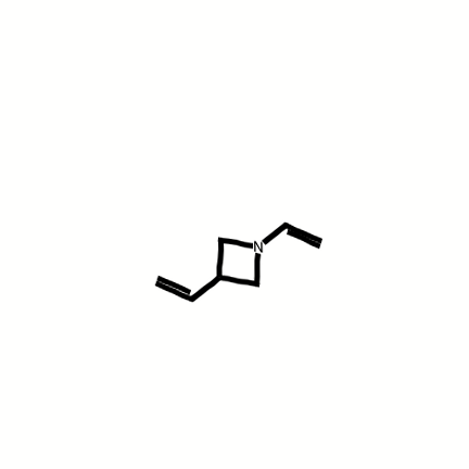 C=CC1CN(C=C)C1